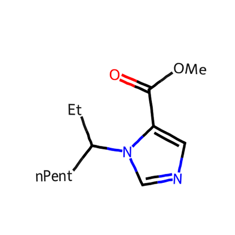 CCCCCC(CC)n1cncc1C(=O)OC